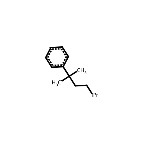 CC(C)CCC(C)(C)c1cc[c]cc1